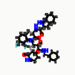 O=C(NCc1ccccc1)C(=O)[C@H](C[C@@H]1CCCNC1=O)NC(=O)[C@H](Cc1ccc(F)c(F)c1)NC(=O)c1cc2ccccc2[nH]1